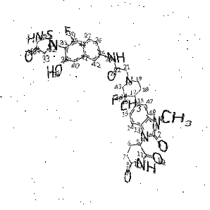 Cn1c(=O)n(C2CCC(=O)NC2=O)c2ccc(C3CCN(CC(=O)Nc4ccc5c(F)c(N6CC(=O)NS6)c(O)cc5c4)CC3(C)F)cc21